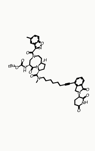 Cc1ccc2onc(C(=O)N3CC[C@H]4CC[C@@H](C(=O)N(C)CCCCCCC#Cc5cccc6c5CN(C5CCC(=O)NC5=O)C6=O)N4C(=O)[C@@H](NC(=O)OC(C)(C)C)C3)c2c1